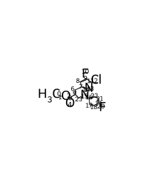 CCOC(=O)C1=Cc2cc(F)c(Cl)nc2N(c2ccc(F)cc2)C1